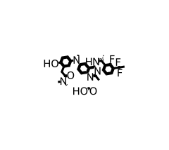 Cc1nc(N[C@H](C)c2cccc(C(C)(F)F)c2F)c2cc(N(C)c3ccc(O)c(CC(=O)N(C)C)c3)ccc2n1.O=CO